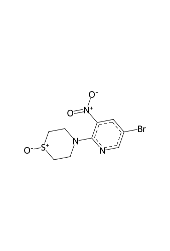 O=[N+]([O-])c1cc(Br)cnc1N1CC[S+]([O-])CC1